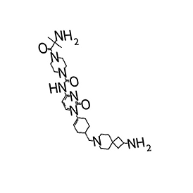 CC(C)(N)C(=O)N1CCN(C(=O)Nc2ccn(C3=CCC(CN4CCC5(CC4)CC(N)C5)CC3)c(=O)n2)CC1